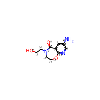 Nc1cnc2c(c1)C(=O)N(CCO)CCO2